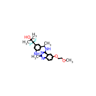 COCCOc1ccc2nc(C)nc(N[C@H](C)c3cc(N)cc(C(F)(F)C(C)(C)O)c3)c2c1